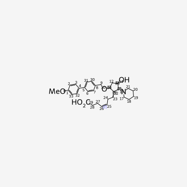 COc1ccc(-c2ccc(CO[C@H]3C[C@@H](O)[C@H](N4CCCCC4)[C@H]3CC/C=C\CCC(=O)O)cc2)cc1